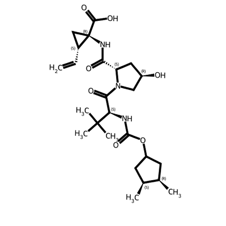 C=C[C@@H]1C[C@]1(NC(=O)[C@@H]1C[C@@H](O)CN1C(=O)[C@@H](NC(=O)OC1C[C@@H](C)[C@@H](C)C1)C(C)(C)C)C(=O)O